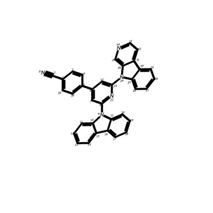 N#Cc1ccc(-c2cc(-n3c4ccccc4c4ccccc43)nc(-n3c4ccccc4c4ccncc43)c2)cc1